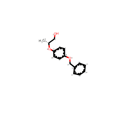 C[C@H](CO)Oc1ccc(OCc2ccccc2)cc1